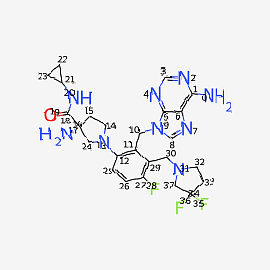 Nc1ncnc2c1ncn2Cc1c(N2CC[C@](N)(C(=O)NC3CC3)C2)ccc(F)c1CN1CCC(F)(F)C1